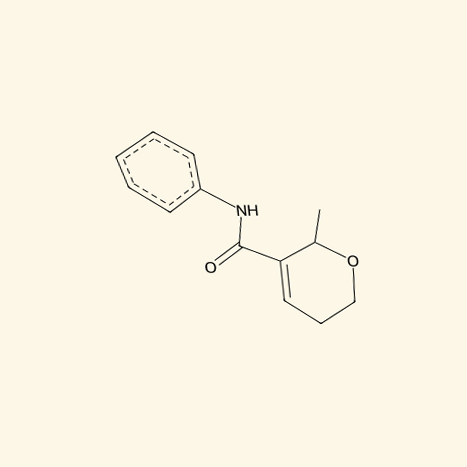 CC1OCCC=C1C(=O)Nc1ccccc1